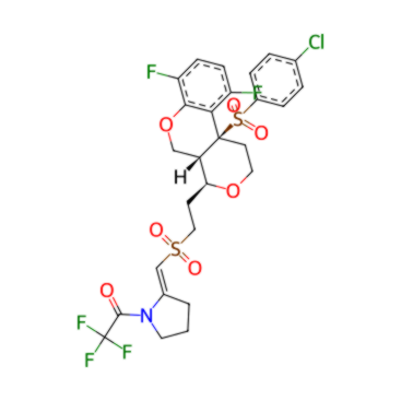 O=C(N1CCC/C1=C\S(=O)(=O)CC[C@@H]1OCC[C@@]2(S(=O)(=O)c3ccc(Cl)cc3)c3c(F)ccc(F)c3OC[C@@H]12)C(F)(F)F